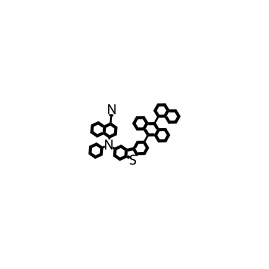 N#Cc1ccc(N(c2ccccc2)c2ccc3sc4ccc(-c5c6ccccc6c(-c6cccc7ccccc67)c6ccccc56)cc4c3c2)c2ccccc12